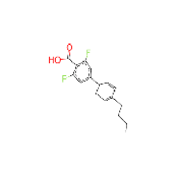 CCCCC1=CCC(c2cc(F)c(C(=O)O)c(F)c2)C=C1